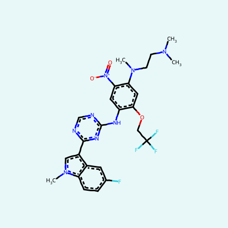 CN(C)CCN(C)c1cc(OCC(F)(F)F)c(Nc2ncnc(-c3cn(C)c4ccc(F)cc34)n2)cc1[N+](=O)[O-]